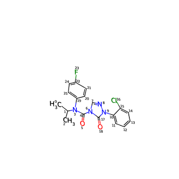 CC(C)N(C(=O)n1cnn(-c2ccccc2Cl)c1=O)c1ccc(F)cc1